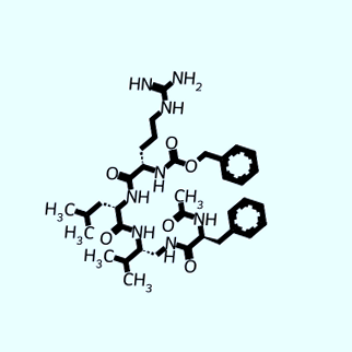 CC(=O)N[C@@H](Cc1ccccc1)C(=O)NC[C@@H](NC(=O)[C@H](CC(C)C)NC(=O)[C@H](CCCNC(=N)N)NC(=O)OCc1ccccc1)C(C)C